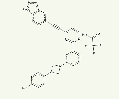 N#Cc1ccc(C2CN(c3nccc(-c4nccc(C#Cc5ccc6[nH]ncc6c5)n4)n3)C2)cc1.O=C(O)C(F)(F)F